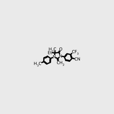 C=C1N(c2ccc(C#N)c(C(F)(F)F)c2)C(=O)C(C)(CC)N1c1ccc(C)cc1